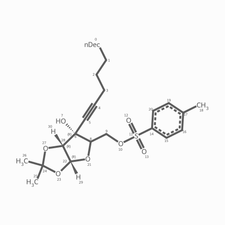 CCCCCCCCCCCCCC#C[C@@]1(O)C(COS(=O)(=O)c2ccc(C)cc2)O[C@@H]2OC(C)(C)O[C@@H]21